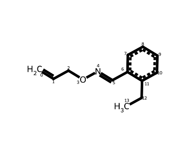 C=CCO/N=C/c1ccccc1CC